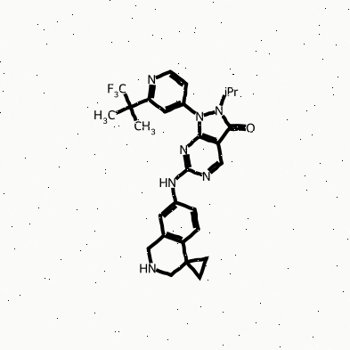 CC(C)n1c(=O)c2cnc(Nc3ccc4c(c3)CNCC43CC3)nc2n1-c1ccnc(C(C)(C)C(F)(F)F)c1